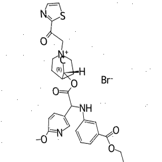 CCOC(=O)c1cccc(NC(C(=O)O[C@H]2C[N+]3(CC(=O)c4nccs4)CCC2CC3)c2ccc(OC)nc2)c1.[Br-]